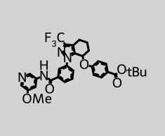 COc1cncc(NC(=O)c2cccc(-n3nc(C(F)(F)F)c4c3C(Oc3ccc(C(=O)OC(C)(C)C)cc3)CCC4)c2)c1